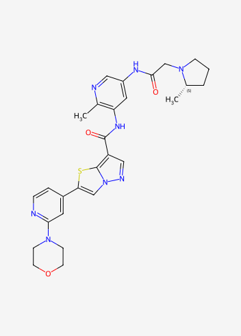 Cc1ncc(NC(=O)CN2CCC[C@@H]2C)cc1NC(=O)c1cnn2cc(-c3ccnc(N4CCOCC4)c3)sc12